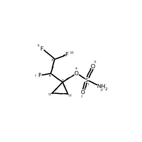 NS(=O)(=O)OC1(C(F)C(F)F)CC1